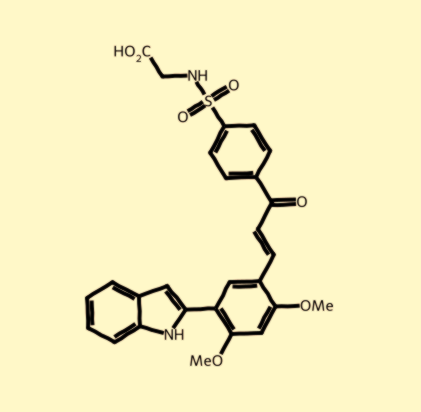 COc1cc(OC)c(-c2cc3ccccc3[nH]2)cc1C=CC(=O)c1ccc(S(=O)(=O)NCC(=O)O)cc1